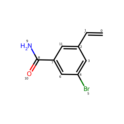 C=[C]c1cc(Br)cc(C(N)=O)c1